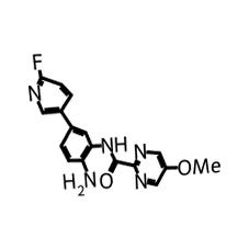 COc1cnc(C(=O)Nc2cc(-c3ccc(F)nc3)ccc2N)nc1